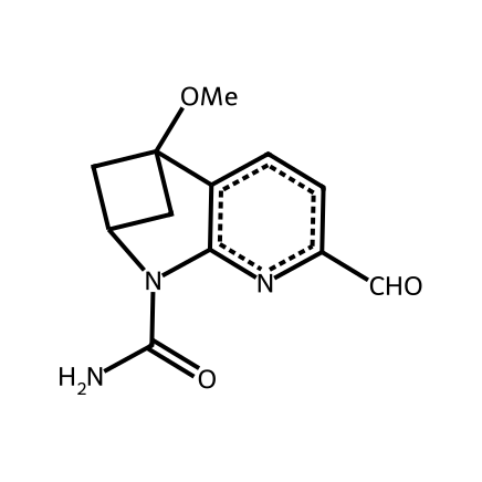 COC12CC(C1)N(C(N)=O)c1nc(C=O)ccc12